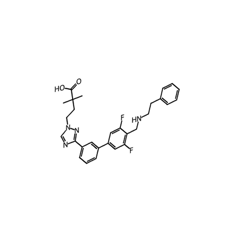 CC(C)(CCn1cnc(-c2cccc(-c3cc(F)c(CNCCc4ccccc4)c(F)c3)c2)n1)C(=O)O